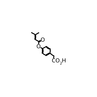 CC(C)=CC(=O)Oc1ccc(CC(=O)O)cc1